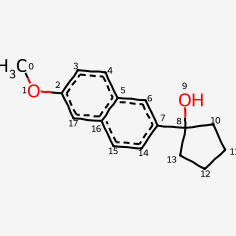 COc1ccc2cc(C3(O)CCCC3)ccc2c1